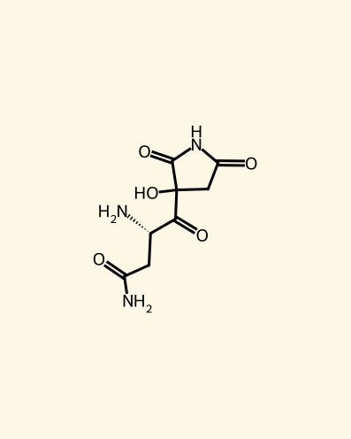 NC(=O)C[C@H](N)C(=O)C1(O)CC(=O)NC1=O